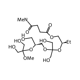 CC[C@H](COC(=O)CCC(=O)NC)OC(CO)(CO)OC[C@H](CO)OC(CO)(CO)OC